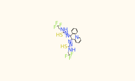 FC(F)(F)CN/C(S)=N/N=C(/C(=N/N=C(\S)NCC(F)(F)F)c1ccccn1)c1ccccc1